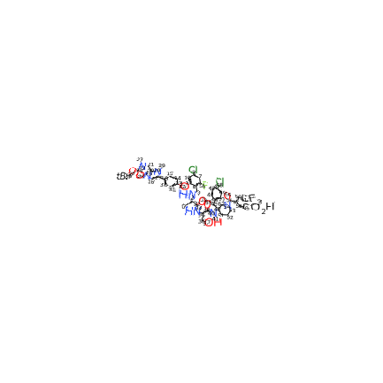 CC(NCc1c(F)cc(Cl)cc1Oc1ccc(-c2cnc(CN(C)C(=O)OC(C)(C)C)n2C)cc1)C(=O)NC(CO)C(=O)N(C)[C@@]1(Cc2ccc(Cl)cc2)CCCN(C(=O)C(CC(=O)O)CC(F)(F)F)C1